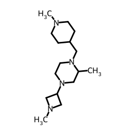 CC1CN(C2CN(C)C2)CCN1CC1CCN(C)CC1